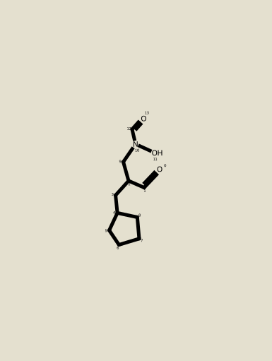 O=CC(CC1CCCC1)CN(O)C=O